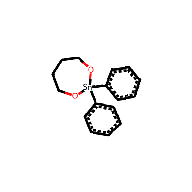 c1cc[c]([Sn]2([c]3ccccc3)[O]CCCC[O]2)cc1